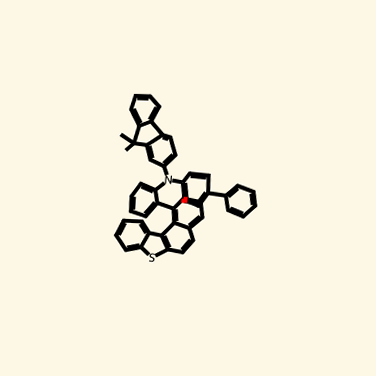 CC1(C)c2ccccc2-c2ccc(N(c3ccc(-c4ccccc4)cc3)c3ccccc3-c3cccc4ccc5sc6ccccc6c5c34)cc21